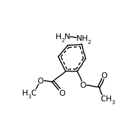 COC(=O)c1ccccc1OC(C)=O.NN